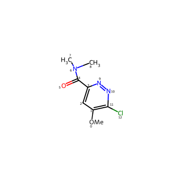 COc1cc(C(=O)N(C)C)nnc1Cl